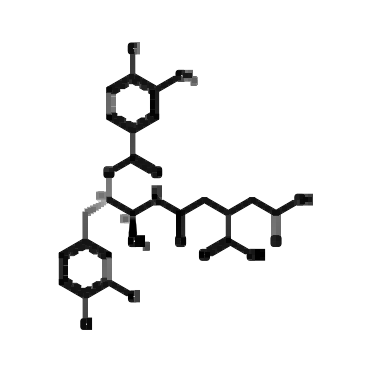 Cc1cc(C(=O)O[C@@H](Cc2ccc(Cl)c(Cl)c2)[C@H](C)NC(=O)CC(CC(=O)O)C(=O)O)ccc1Cl